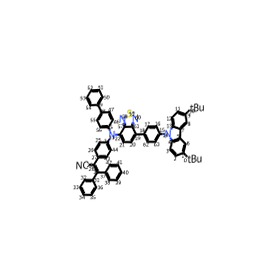 CC(C)(C)c1ccc2c(c1)c1cc(C(C)(C)C)ccc1n2-c1ccc(-c2ccc(N(c3ccc(C(C#N)=C(c4ccccc4)c4ccccc4)cc3)c3ccc(-c4ccccc4)cc3)c3nsnc23)cc1